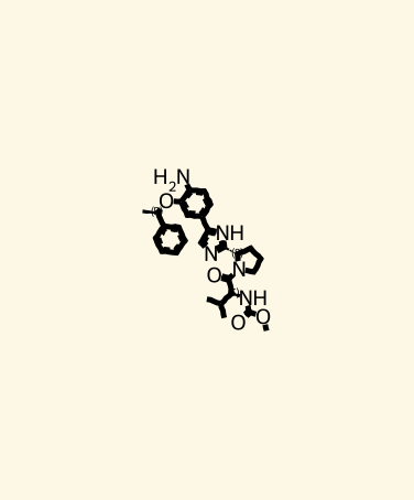 COC(=O)N[C@H](C(=O)N1CCC[C@H]1c1ncc(-c2ccc(N)c(O[C@H](C)c3ccccc3)c2)[nH]1)C(C)C